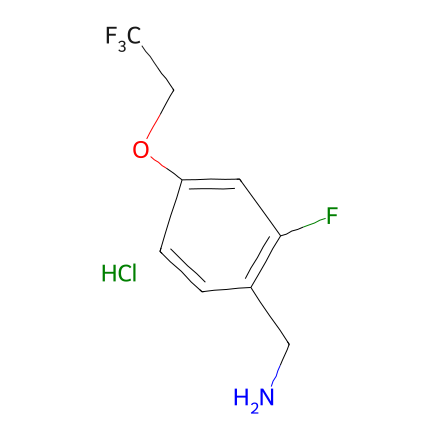 Cl.NCc1ccc(OCC(F)(F)F)cc1F